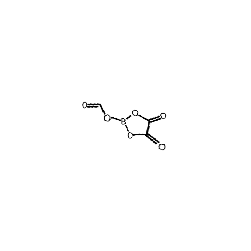 O=COB1OC(=O)C(=O)O1